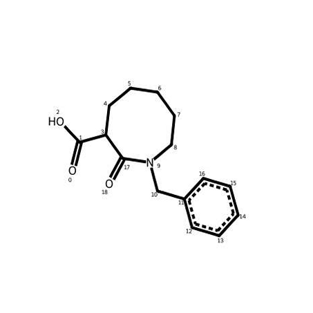 O=C(O)C1CCCCCN(Cc2ccccc2)C1=O